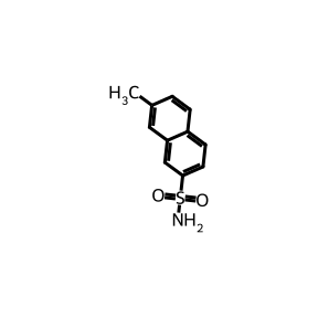 Cc1ccc2ccc(S(N)(=O)=O)cc2c1